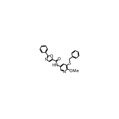 COc1ncc(NC(=O)c2cnc(-c3ccccc3)o2)cc1SCc1ccccc1